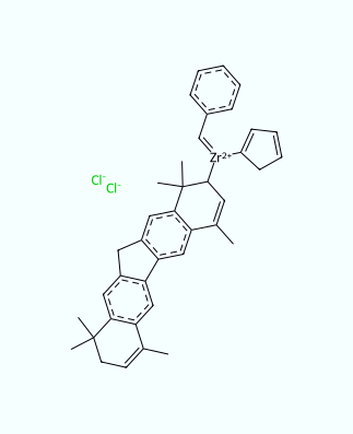 CC1=CCC(C)(C)c2cc3c(cc21)-c1cc2c(cc1C3)C(C)(C)[CH]([Zr+2](=[CH]c1ccccc1)[C]1=CC=CC1)C=C2C.[Cl-].[Cl-]